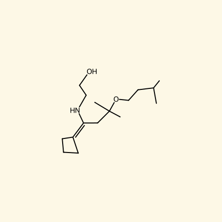 CC(C)CCOC(C)(C)CC(NCCO)=C1CCC1